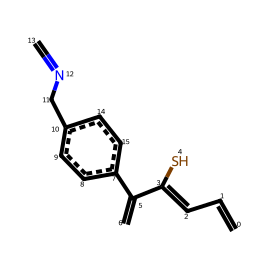 C=C/C=C(\S)C(=C)c1ccc(CN=C)cc1